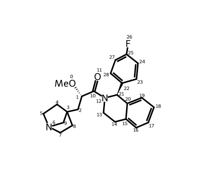 CO[C@@H](CC12CCN(CC1)C2)C(=O)N1CCc2ccccc2[C@@H]1c1ccc(F)cc1